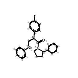 Cc1ccc(C(CNc2ccccc2)C(=O)N2CCCC2c2ccccc2)cc1